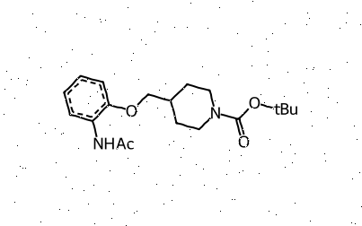 CC(=O)Nc1ccccc1OCC1CCN(C(=O)OC(C)(C)C)CC1